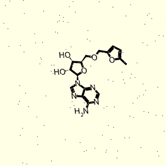 Cc1ccc(COC[C@H]2O[C@@H](n3cnc4c(N)ncnc43)[C@H](O)[C@@H]2O)o1